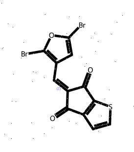 O=C1/C(=C/c2cc(Br)oc2Br)C(=O)c2sccc21